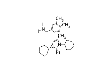 Cc1ccc(CN(I)I)cc1C.Cc1cn(C2CCCCC2)[c](=[Pt])n1C1CCCCC1